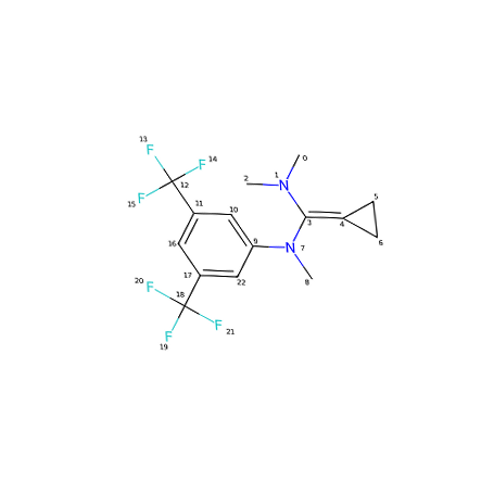 CN(C)C(=C1CC1)N(C)c1cc(C(F)(F)F)cc(C(F)(F)F)c1